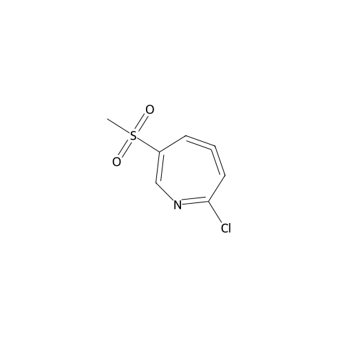 CS(=O)(=O)C1=CN=C(Cl)C=C=C1